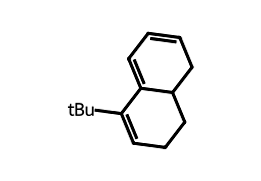 CC(C)(C)C1=CCCC2CC=CC=C12